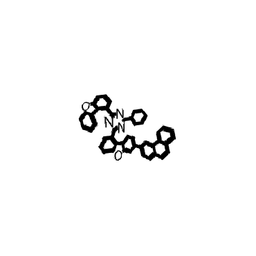 C1=CCC(c2nc(-c3cccc4oc5ccccc5c34)nc(-c3cccc4oc5cc(-c6ccc7ccc8ccccc8c7c6)ccc5c34)n2)C=C1